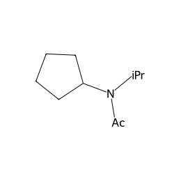 CC(=O)N(C(C)C)C1CCCC1